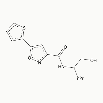 CCCC(CO)NC(=O)c1cc(-c2cccs2)on1